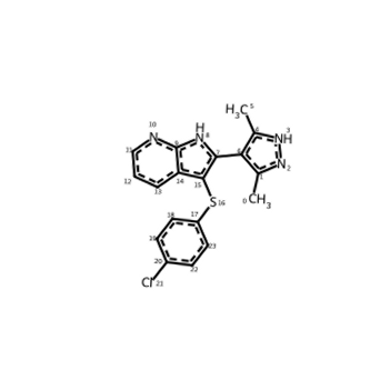 Cc1n[nH]c(C)c1-c1[nH]c2ncccc2c1Sc1ccc(Cl)cc1